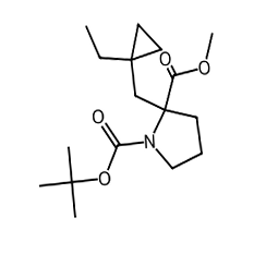 CCC1(CC2(C(=O)OC)CCCN2C(=O)OC(C)(C)C)CC1